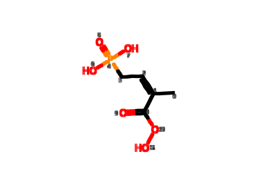 CC(=CCP(=O)(O)O)C(=O)OO